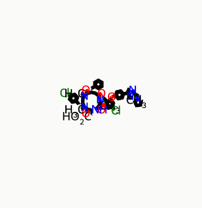 C[C@H]1C(=O)N[C@@H](CC(=O)O)C(=O)N(C)[C@H](Cc2ccc(Cl)cc2)CN(C)C(=O)[C@H](Cc2ccccc2)CC(=O)N1Cc1ccc(Cl)cc1Oc1ccc(-c2cnc(CN3CCCC3)n2C)cc1